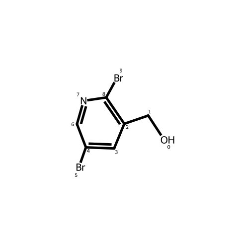 OCc1cc(Br)cnc1Br